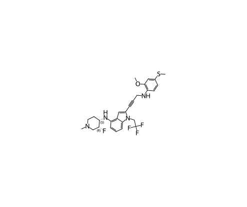 COc1cc(SC)ccc1NCC#Cc1cc2c(N[C@H]3CCN(C)C[C@H]3F)cccc2n1CC(F)(F)F